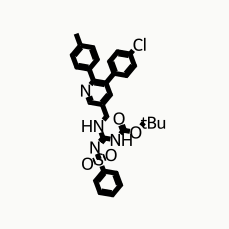 Cc1ccc(-c2ncc(CN/C(=N/S(=O)(=O)c3ccccc3)NC(=O)OC(C)(C)C)cc2-c2ccc(Cl)cc2)cc1